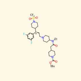 CCN(C(=O)CC1CCN(C(=O)OC(C)(C)C)CC1)C1CCN(CC[C@@H](c2cc(F)cc(F)c2)C2CCN(S(=O)(=O)C(F)(F)F)CC2)CC1